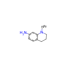 CCCN1CCCc2ccc(N)cc21